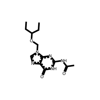 CCC(CC)OCn1cnc2c(=O)[nH]c(NC(C)=O)nc21